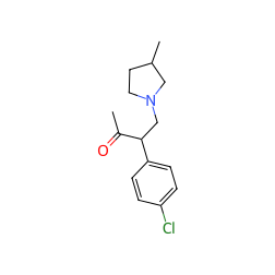 CC(=O)C(CN1CCC(C)C1)c1ccc(Cl)cc1